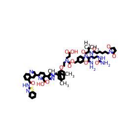 Cc1c(-c2ccc(-c3cnc4cccc(C(=O)Nc5nc6ccccc6s5)c4c3)nc2C(=O)O)cnn1CC12CC3(C)CC(C)(C1)CC(OCCN(CCC(=O)O)C(=O)OCc1ccc(N(C(=O)[C@@H](NC(=O)CCCCCN4C(=O)C=CC4=O)C(C)C)[C@@H](CCCNC(N)=O)C(N)=O)cc1)(C3)C2